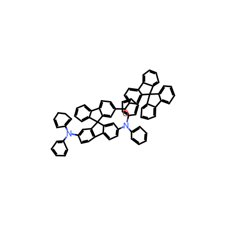 O=C(c1ccc2c(c1)C1(c3ccccc3-c3ccccc31)c1ccccc1-2)c1ccc2c(c1)C1(c3ccccc3-2)c2cc(N(C3=CCCC=C3)c3ccccc3)ccc2-c2ccc(N(c3ccccc3)c3ccccc3)cc21